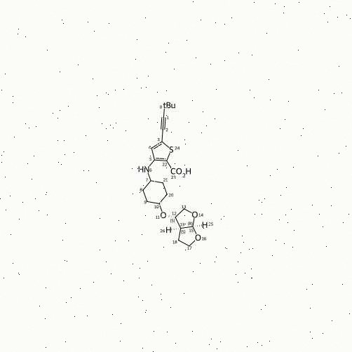 CC(C)(C)C#Cc1cc(NC2CCC(O[C@@H]3CO[C@H]4OCC[C@H]43)CC2)c(C(=O)O)s1